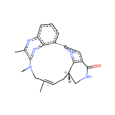 C/C1=C/C[C@H]2CNC(=O)c3cc([nH]c32)-c2cccc3nc(C)c(nc23)N(C)C1